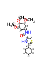 COc1cc(NC(=O)[C@@H]2CSC(c3ccccc3)N2)cc(OC)c1OC